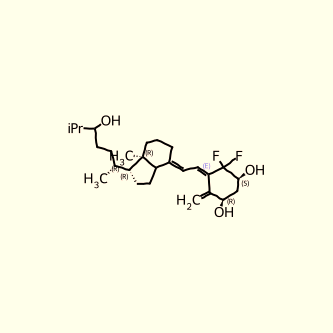 C=C1/C(=C\C=C2CCC[C@@]3(C)C2CC[C@@H]3[C@H](C)CCC(O)C(C)C)C(F)(F)[C@@H](O)C[C@H]1O